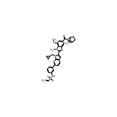 C=CS(=O)(=O)Nc1cccc(-c2ccc3cc(-c4nc5cc(C(=O)N6CC7CCC6[C@@H]7C)cc(OC)c5n4C)n(CC4CC4)c3n2)c1